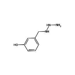 NNNCc1cccc(O)c1